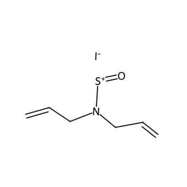 C=CCN(CC=C)[S+]=O.[I-]